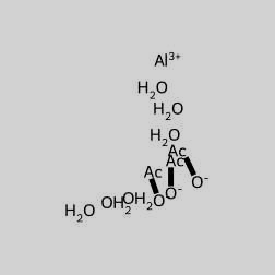 CC(=O)[O-].CC(=O)[O-].CC(=O)[O-].O.O.O.O.O.O.[Al+3]